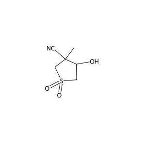 CC1(C#N)CS(=O)(=O)CC1O